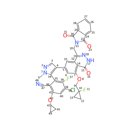 Cn1ncc(-c2cc(OCC3(F)CC3)c3c(=O)[nH]nc(CN4C(=O)c5ccccc5C4=O)c3c2)c1-c1c(F)c(Cl)cc(OC2CC2)c1C#N